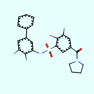 O=C(c1cc(Cl)c(O)c(S(=O)(=O)Nc2cc(-c3ccccc3)cc(F)c2F)c1)N1CCCC1